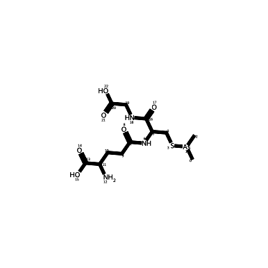 C[As](C)SCC(NC(=O)CCC(N)C(=O)O)C(=O)NCC(=O)O